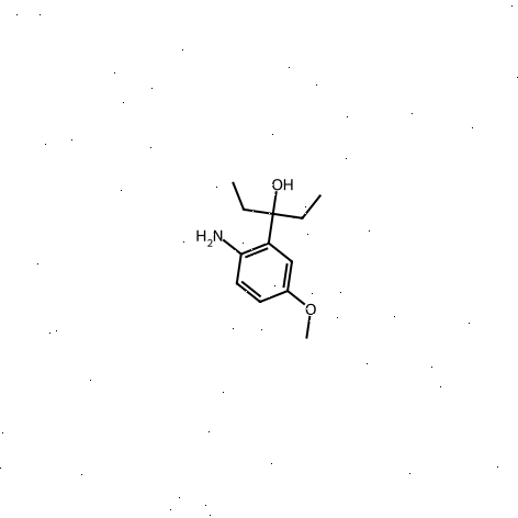 CCC(O)(CC)c1cc(OC)ccc1N